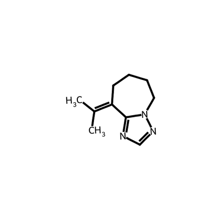 CC(C)=C1CCCCn2ncnc21